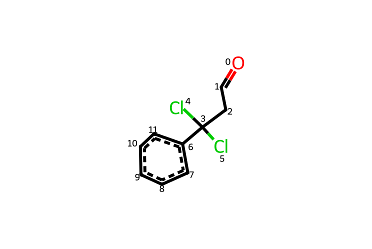 O=CCC(Cl)(Cl)c1ccccc1